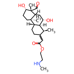 CNCCOC(=O)/C=C1\CC[C@H]2[C@@H]([C@@H](O)C[C@H]3[C@@](C)(C=O)[C@@H](O)CC[C@]23C)[C@H]1C